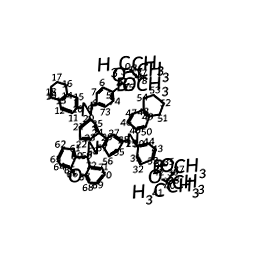 CC1(C)OB(c2ccc(N(c3ccc4c(c3)CCCC4)c3ccc4c(c3)c3cc(N(c5ccc(B6OC(C)(C)C(C)(C)O6)cc5)c5ccc6c(c5)CCCC6)ccc3n4C3c4ccccc4Oc4ccccc43)cc2)OC1(C)C